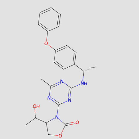 Cc1nc(N[C@@H](C)c2ccc(Oc3ccccc3)cc2)nc(N2C(=O)OCC2C(C)O)n1